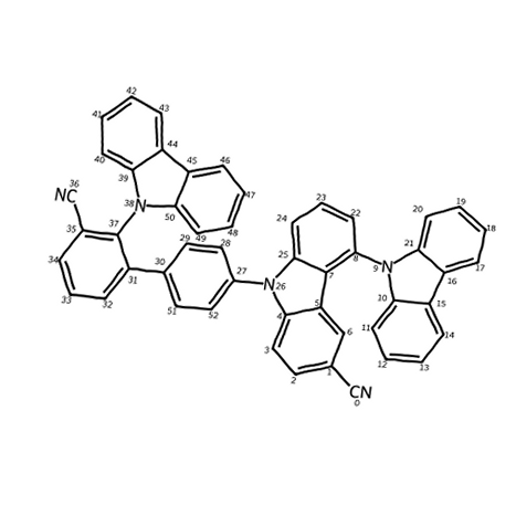 N#Cc1ccc2c(c1)c1c(-n3c4ccccc4c4ccccc43)cccc1n2-c1ccc(-c2cccc(C#N)c2-n2c3ccccc3c3ccccc32)cc1